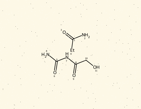 CCC(N)=O.NC(=O)NC(=O)CO